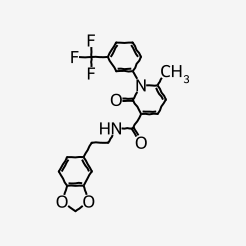 Cc1ccc(C(=O)NCCc2ccc3c(c2)OCO3)c(=O)n1-c1cccc(C(F)(F)F)c1